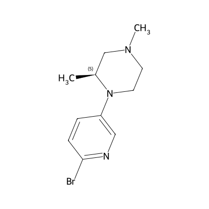 C[C@H]1CN(C)CCN1c1ccc(Br)nc1